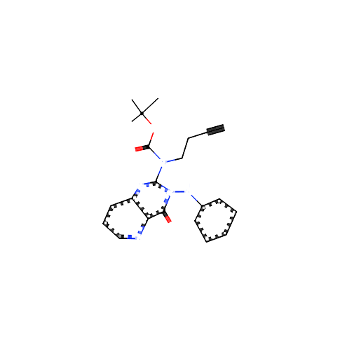 C#CCCN(C(=O)OC(C)(C)C)c1nc2cccnc2c(=O)n1Nc1ccccc1